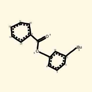 CCC(C)c1cccc(OC(=O)c2ccccc2)c1